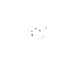 CCCCCC(CO)CC(C)CC(C)C